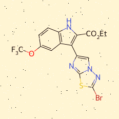 CCOC(=O)c1[nH]c2ccc(OC(F)(F)F)cc2c1-c1cn2nc(Br)sc2n1